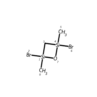 C[Si]1(Br)C[Si](C)(Br)O1